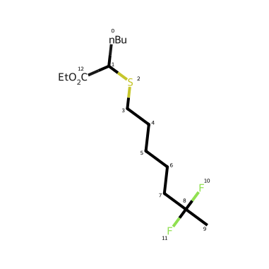 CCCCC(SCCCCCC(C)(F)F)C(=O)OCC